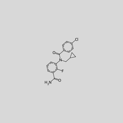 NC(=O)c1cccc(N(CC2CC2)C(=O)c2ccc(Cl)cc2)c1F